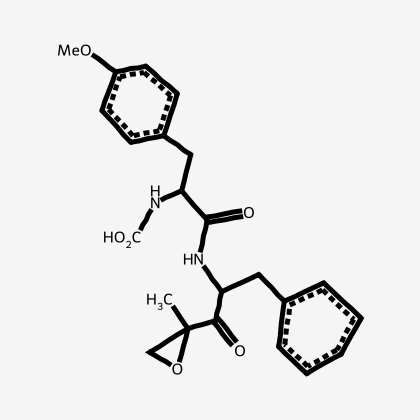 COc1ccc(CC(NC(=O)O)C(=O)NC(Cc2ccccc2)C(=O)C2(C)CO2)cc1